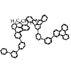 CC1(C)c2cccc3c4ccc(-c5cccc(-c6cccc(-c7ccccc7)c6)c5)cc4c4ccc(-c5cccc6c5c5cc(-c7cccc(-c8cccc(-c9ccc%10c%11ccccc%11c%11ccccc%11c%10c9)c8)c7)cc7c8ccccc8n6c75)c1c4c23